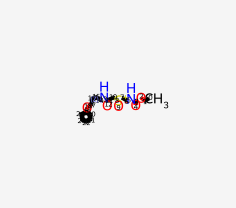 CCOC(=O)NCC[S+]([O-])CC(=O)NC/C=C\COc1ccccc1